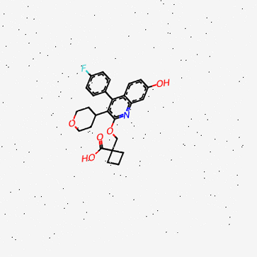 O=C(O)C1(COc2nc3cc(O)ccc3c(-c3ccc(F)cc3)c2C2CCOCC2)CCC1